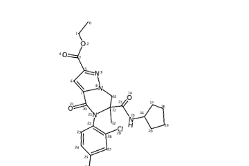 CCOC(=O)c1cc2n(n1)CC(C)(C(=O)NC1CCCC1)N(c1ccc(C)cc1Cl)C2=O